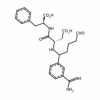 N=C(N)c1cccc(C(CCCC=O)N[C@@H](CC(=O)O)C(=O)N[C@@H](Cc2ccccc2)C(=O)O)c1